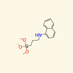 CO[Si](CCCNc1cccc2ccccc12)(OC)OC